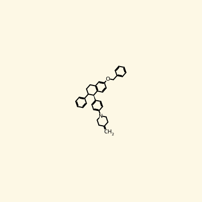 C=C1CCN(c2ccc([C@@H]3c4ccc(OCc5ccccc5)cc4CCC3c3ccccc3)cc2)CC1